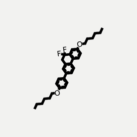 CCCCCCOc1ccc(-c2ccc3c(c2)CC(F)(F)c2cc(OCCCCCC)ccc2-3)cc1